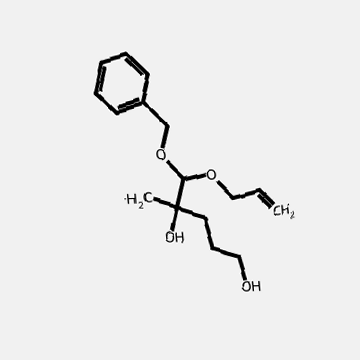 [CH2]C(O)(CCCO)C(OCC=C)OCc1ccccc1